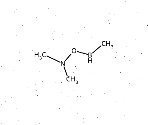 CBON(C)C